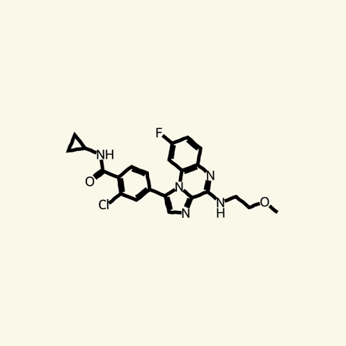 COCCNc1nc2ccc(F)cc2n2c(-c3ccc(C(=O)NC4CC4)c(Cl)c3)cnc12